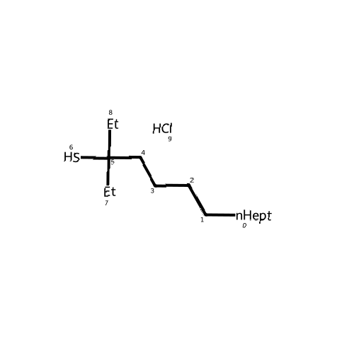 CCCCCCCCCCCC(S)(CC)CC.Cl